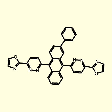 c1ccc(-c2ccc3c(-c4ccc(-c5ncco5)nn4)c4ccccc4c(-c4ccc(-c5ncco5)nn4)c3c2)cc1